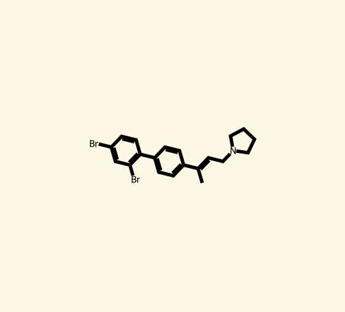 CC(=CCN1CCCC1)c1ccc(-c2ccc(Br)cc2Br)cc1